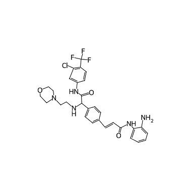 Nc1ccccc1NC(=O)/C=C/c1ccc(C(NCCN2CCOCC2)C(=O)Nc2ccc(C(F)(F)F)c(Cl)c2)cc1